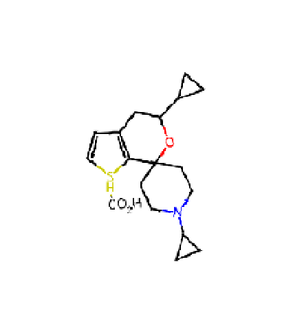 O=C(O)[SH]1C=CC2=C1C1(CCN(C3CC3)CC1)OC(C1CC1)C2